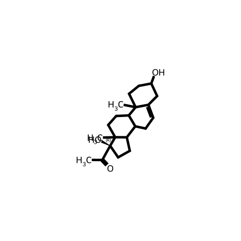 CC(=O)[C@@]1(O)CCC2C3CC=C4CC(O)CCC4(C)C3CCC21C